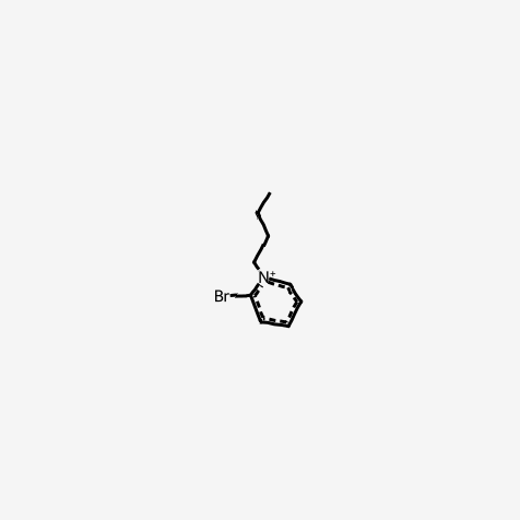 CCCC[n+]1ccccc1Br